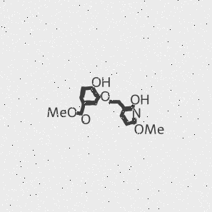 COC(=O)c1ccc(O)c(OCCc2ccc(OC)nc2O)c1